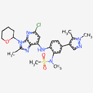 Cc1c(-c2ccc(Nc3cc(Cl)nc4c3nc(C)n4C3CCCCO3)c(N(C)S(C)(=O)=O)c2)cnn1C